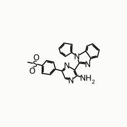 CS(=O)(=O)c1ccc(-c2cnc(N)c(-c3nc4ccccc4n3-c3ccccc3)n2)cc1